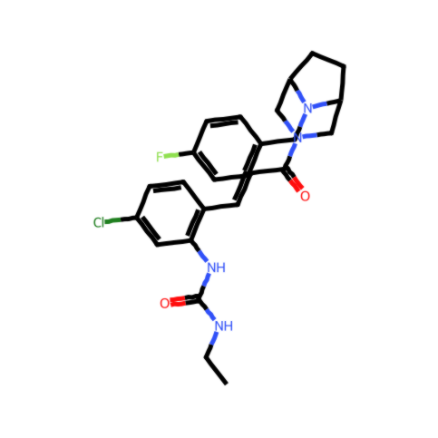 CCNC(=O)Nc1cc(Cl)ccc1C=CC(=O)N1CC2CCC(C1)N2Cc1ccc(F)cc1